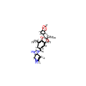 CCCc1cc(CN2CNc3cnccc32)cc(CCC)c1OC(C(=O)OC)c1ccc2c(c1)OCO2